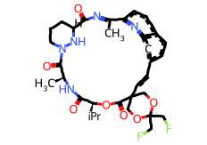 C/C1=N\C(=O)[C@@H]2CCCN(N2)C(=O)[C@H](C)NC(=O)[C@H](C(C)C)OC(=O)C2(/C=C/c3ccc4ccc1nc4c3)COC(CF)(CF)OC2